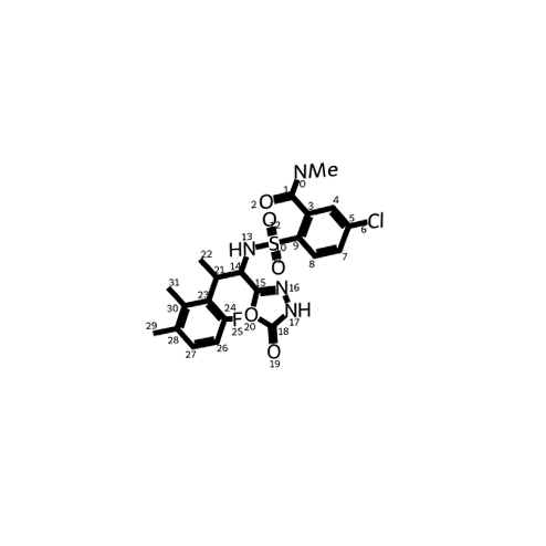 CNC(=O)c1cc(Cl)ccc1S(=O)(=O)NC(c1n[nH]c(=O)o1)C(C)c1c(F)ccc(C)c1C